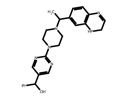 CC(C)C(O)c1cnc(N2CCN(C(C)c3ccc4c(c3)PCC=N4)CC2)nc1